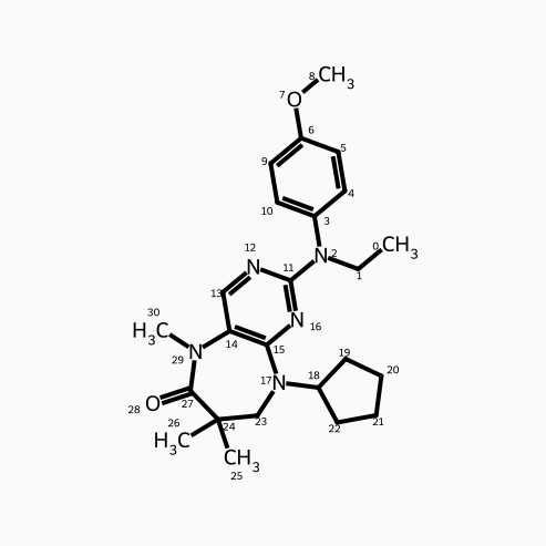 CCN(c1ccc(OC)cc1)c1ncc2c(n1)N(C1CCCC1)CC(C)(C)C(=O)N2C